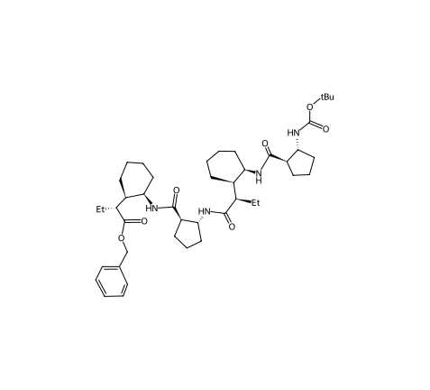 CC[C@@H](C(=O)N[C@@H]1CCC[C@H]1C(=O)N[C@@H]1CCCC[C@@H]1[C@@H](CC)C(=O)OCc1ccccc1)[C@H]1CCCC[C@H]1NC(=O)[C@@H]1CCC[C@H]1NC(=O)OC(C)(C)C